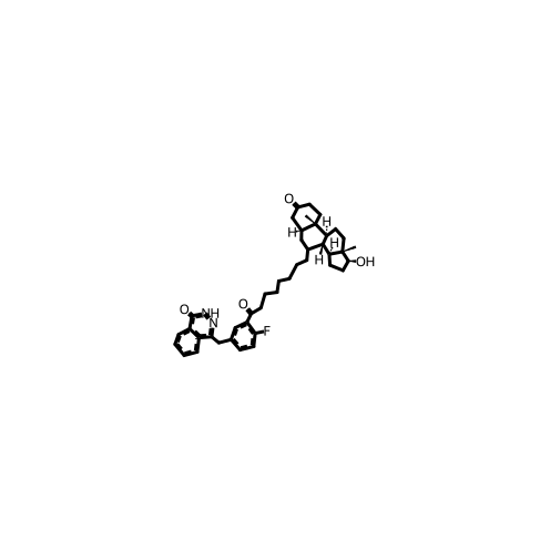 C[C@]12CCC(=O)C[C@@H]1CC(CCCCCCCC(=O)c1cc(Cc3n[nH]c(=O)c4ccccc34)ccc1F)[C@@H]1[C@@H]2CC[C@]2(C)[C@@H](O)CC[C@@H]12